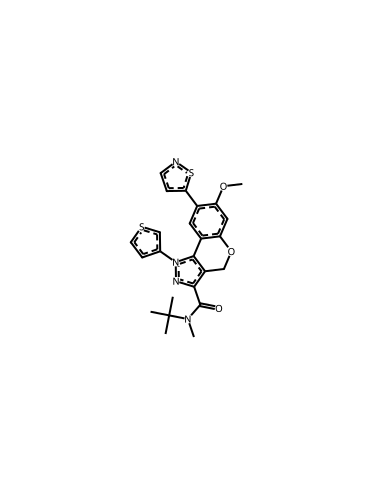 COc1cc2c(cc1-c1ccns1)-c1c(c(C(=O)N(C)C(C)(C)C)nn1-c1ccsc1)CO2